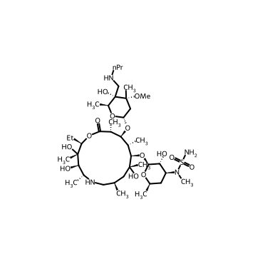 CCCNC[C@]1(O)[C@H](C)O[C@@H](O[C@H]2[C@H](C)[C@@H](O[C@@H]3O[C@H](C)C[C@H](N(C)S(N)(=O)=O)[C@H]3O)[C@](C)(O)C[C@@H](C)CN[C@H](C)[C@@H](O)[C@](C)(O)[C@@H](CC)OC(=O)[C@@H]2C)C[C@@]1(C)OC